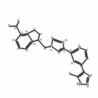 Cc1[nH]nnc1-c1ccnc(-c2cn(CC3CCc4c(C(C)C)cccc43)cn2)c1